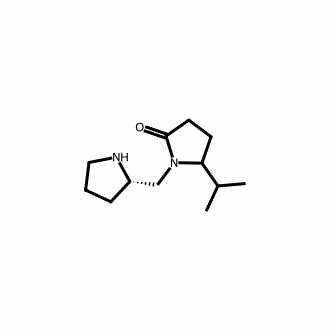 CC(C)C1CCC(=O)N1C[C@@H]1CCCN1